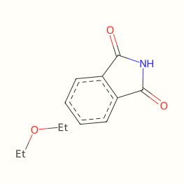 CCOCC.O=C1NC(=O)c2ccccc21